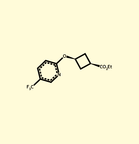 CCOC(=O)[C@H]1C[C@@H](Oc2ccc(C(F)(F)F)cn2)C1